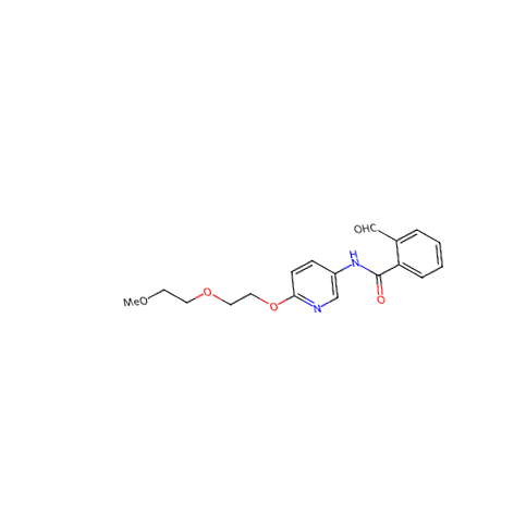 COCCOCCOc1ccc(NC(=O)c2ccccc2C=O)cn1